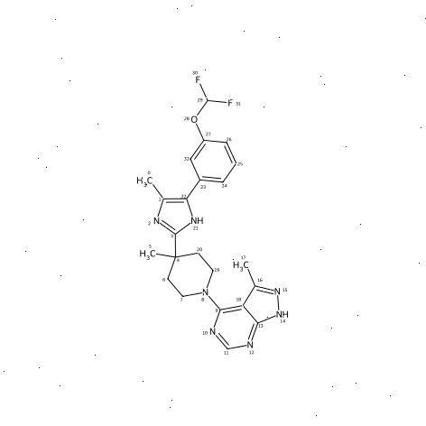 Cc1nc(C2(C)CCN(c3ncnc4[nH]nc(C)c34)CC2)[nH]c1-c1cccc(OC(F)F)c1